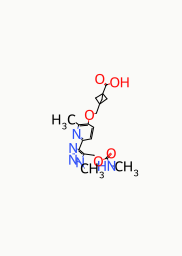 CNC(=O)OCc1c(-c2ccc(OCC34CC(C(=O)O)(C3)C4)c(C)n2)nnn1C